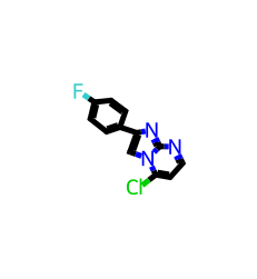 Fc1ccc(-c2cn3c(Cl)ccnc3n2)cc1